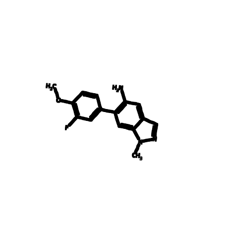 COc1ccc(-c2cc3c(cnn3C)cc2N)cc1F